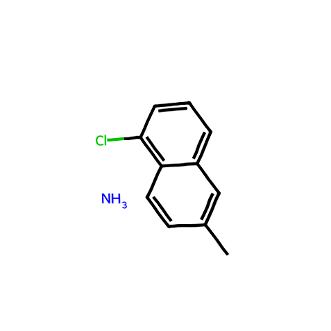 Cc1ccc2c(Cl)cccc2c1.N